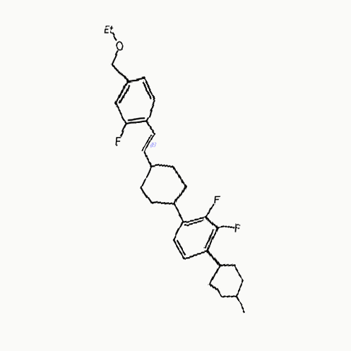 CCOCc1ccc(/C=C/C2CCC(c3ccc(C4CCC(C)CC4)c(F)c3F)CC2)c(F)c1